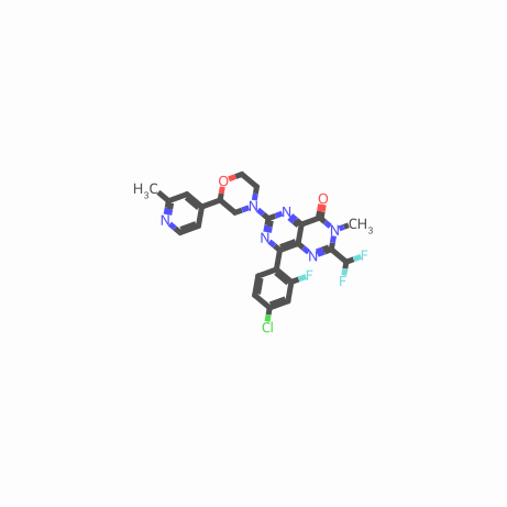 Cc1cc(C2CN(c3nc(-c4ccc(Cl)cc4F)c4nc(C(F)F)n(C)c(=O)c4n3)CCO2)ccn1